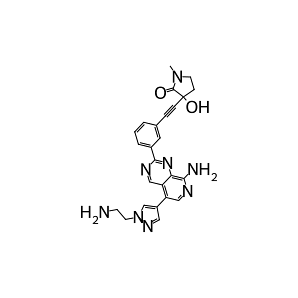 CN1CCC(O)(C#Cc2cccc(-c3ncc4c(-c5cnn(CCN)c5)cnc(N)c4n3)c2)C1=O